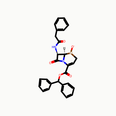 O=C(Cc1ccccc1)N[C@@H]1C(=O)N2C(C(=O)OC(c3ccccc3)c3ccccc3)=CC[S+]([O-])[C@H]12